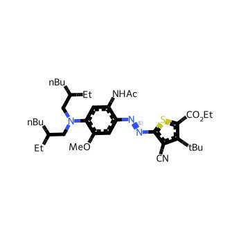 CCCCC(CC)CN(CC(CC)CCCC)c1cc(NC(C)=O)c(/N=N/c2sc(C(=O)OCC)c(C(C)(C)C)c2C#N)cc1OC